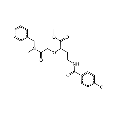 COC(=O)C(CCNC(=O)c1ccc(Cl)cc1)OCC(=O)N(C)Cc1ccccc1